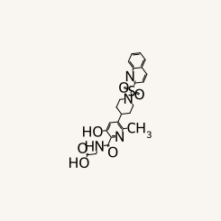 Cc1nc(C(=O)NCC(=O)O)c(O)cc1C1CCN(S(=O)(=O)c2ccc3ccccc3n2)CC1